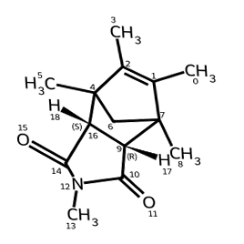 CC1=C(C)C2(C)CC1(C)[C@@H]1C(=O)N(C)C(=O)[C@@H]12